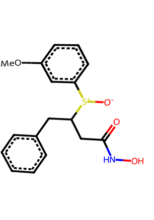 COc1cccc([S+]([O-])C(CC(=O)NO)Cc2ccccc2)c1